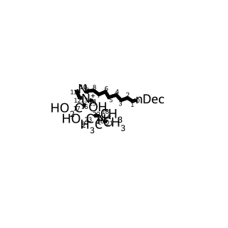 CCCCCCCCCCCCCCCCCCC1=NCC[N+]1(CO)CC(=O)O.C[N+](C)(C)CC(=O)O